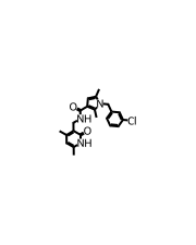 Cc1cc(C)c(CNC(=O)c2cc(C)n(Cc3cccc(Cl)c3)c2C)c(=O)[nH]1